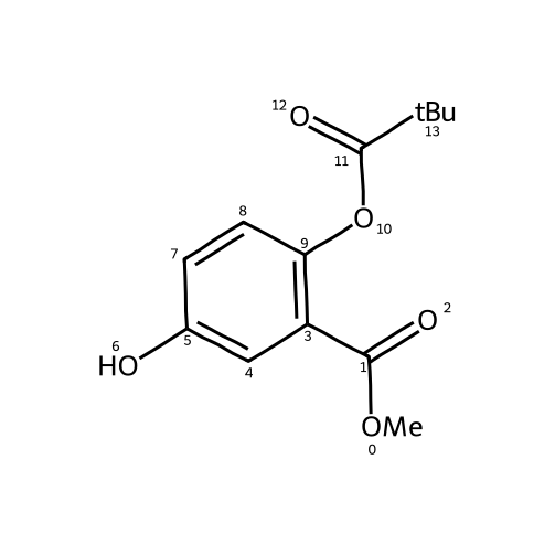 COC(=O)c1cc(O)ccc1OC(=O)C(C)(C)C